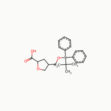 CC(C)(C)[Si](OCC1COC(C(=O)O)C1)(c1ccccc1)c1ccccc1